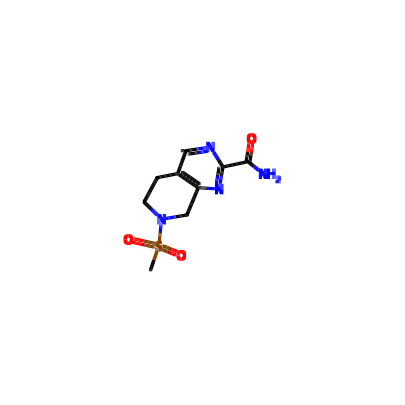 CS(=O)(=O)N1CCc2[c]nc(C(N)=O)nc2C1